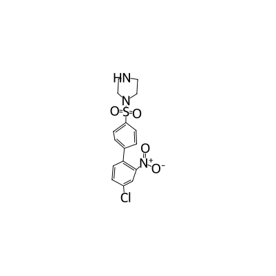 O=[N+]([O-])c1cc(Cl)ccc1-c1ccc(S(=O)(=O)N2CCNCC2)cc1